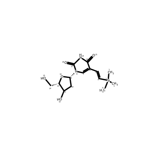 C[Si](C)(C)/C=C/c1cn([C@@H]2CC(O)[C@H](CO)O2)c(=O)[nH]c1=O